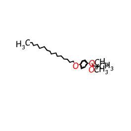 CCCCCCCCCCCCCCCCOc1ccc(OC(=O)C(C)(C)C)cc1